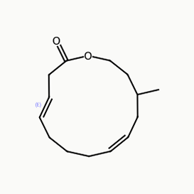 CC1CC=CCCC/C=C/CC(=O)OCC1